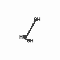 CC(O)(CCO)CCCCCCCCCCCCCCCO